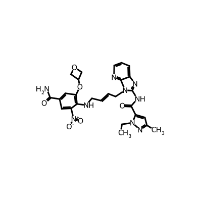 CCn1nc(C)cc1C(=O)Nc1nc2cccnc2n1CC=CCNc1c(OC2COC2)cc(C(N)=O)cc1[N+](=O)[O-]